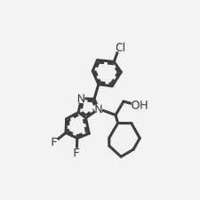 OCC(C1CCCCCC1)n1c(-c2ccc(Cl)cc2)nc2cc(F)c(F)cc21